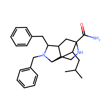 CC(C)CC1C2C3CNC1(C(N)=O)CC3C(Cc1ccccc1)N2Cc1ccccc1